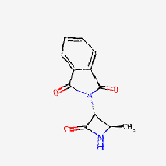 C[C@H]1NC(=O)[C@@H]1N1C(=O)c2ccccc2C1=O